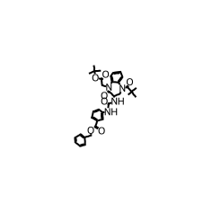 CC(C)(C)OC(=O)CN1C(=O)C(NC(=O)Nc2cccc(C(=O)OCc3ccccc3)c2)CN(C(=O)C(C)(C)C)c2ccccc21